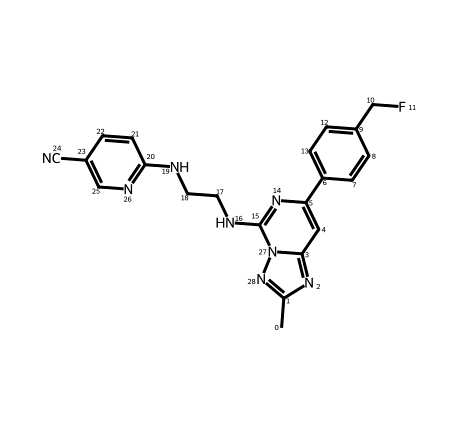 Cc1nc2cc(-c3ccc(CF)cc3)nc(NCCNc3ccc(C#N)cn3)n2n1